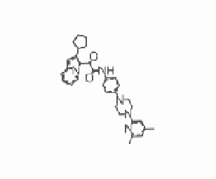 Cc1cc(C)nc(N2CCN(c3ccc(NC(=O)C(=O)c4c(C5CCCC5)cc5ccccn45)cc3)CC2)c1